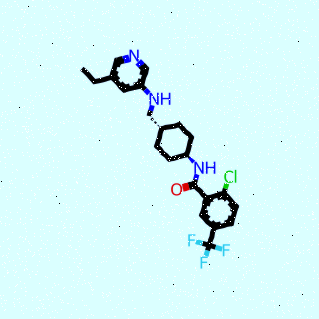 CCc1cncc(NC[C@H]2CC[C@H](NC(=O)c3cc(C(F)(F)F)ccc3Cl)CC2)c1